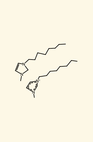 CCCCCCCCN1C=CN(C)C1.CCCCCCCC[n+]1ccn(C)c1